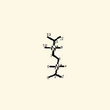 CC(C)[N+](C)(C)CC[N+](C)(C)C(C)C